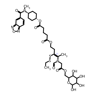 CCSS/C(CCOC(=O)CCCC(=O)O[C@H]1CC[C@H](N(C)C(=O)c2ccc3nonc3c2)CC1)=C(/C)N(C=O)CC(=O)OCC1OC(O)C(O)C(O)C1O